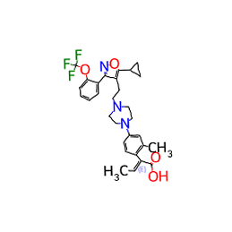 C/C=C(/C(=O)O)c1ccc(N2CCN(CCc3c(-c4ccccc4OC(F)(F)F)noc3C3CC3)CC2)cc1C